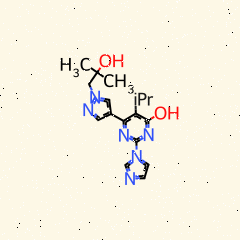 CC(C)c1c(O)nc(-n2ccnc2)nc1-c1cnn(CC(C)(C)O)c1